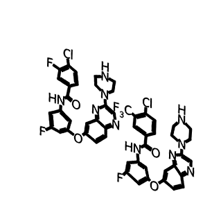 O=C(Nc1cc(F)cc(Oc2ccc3ncc(N4CCNCC4)nc3c2)c1)c1ccc(Cl)c(C(F)(F)F)c1.O=C(Nc1cc(F)cc(Oc2ccc3ncc(N4CCNCC4)nc3c2)c1)c1ccc(Cl)c(F)c1